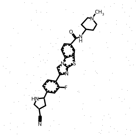 CN1CCC(NC(=O)c2ccc3c(c2)sc2nc(-c4ccc(C5CC(C#N)CN5)cc4F)cn23)CC1